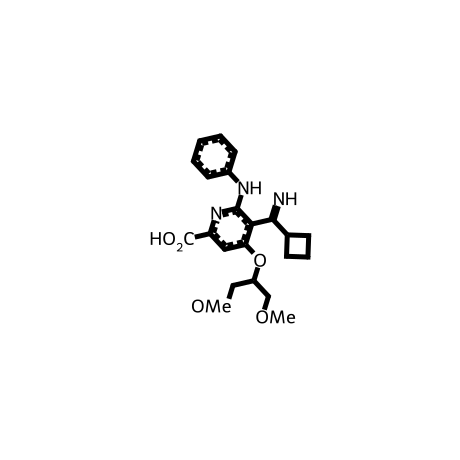 COCC(COC)Oc1cc(C(=O)O)nc(Nc2ccccc2)c1C(=N)C1CCC1